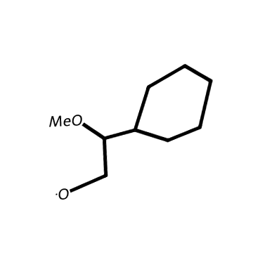 COC(C[O])C1CCCCC1